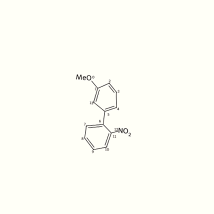 COc1cccc(-c2ccccc2[N+](=O)[O-])c1